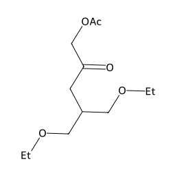 CCOCC(COCC)CC(=O)COC(C)=O